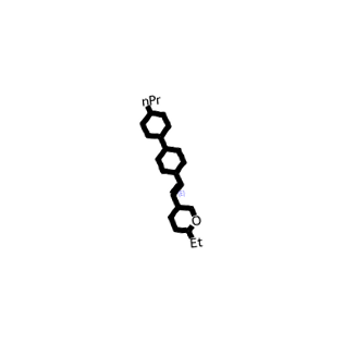 CCCC1CCC(C2CCC(/C=C/C3CCC(CC)OC3)CC2)CC1